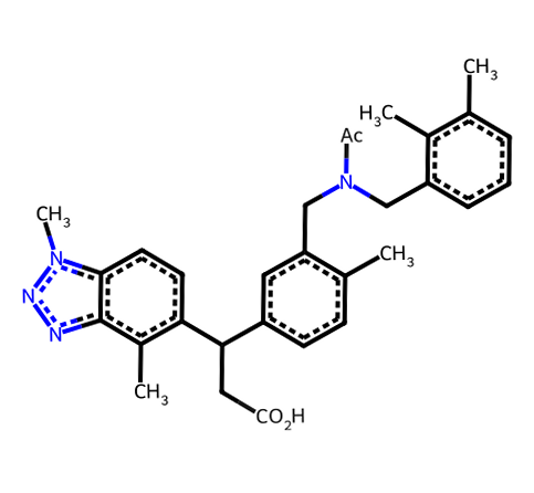 CC(=O)N(Cc1cc(C(CC(=O)O)c2ccc3c(nnn3C)c2C)ccc1C)Cc1cccc(C)c1C